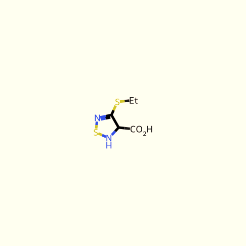 CCSC1=NSNC1C(=O)O